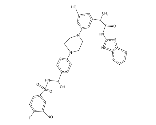 CC(C(=O)Nc1nc2ccccc2s1)c1cc(O)cc(N2CCN(c3ccc(C(O)NS(=O)(=O)c4ccc(F)c(N=O)c4)cc3)CC2)c1